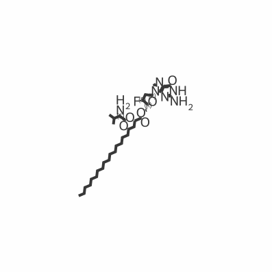 CCCCCCCCCCCCCCCCCCC(OC(=O)[C@@H](N)C(C)C)C(=O)OC[C@H]1O[C@@H](n2cnc3c(=O)[nH]c(N)nc32)C[C@@H]1F